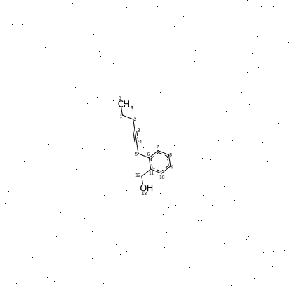 CCCC#CCc1ccccc1CO